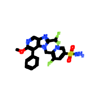 COc1ncc2nc(C(F)F)n(Cc3ncc(S(N)(=O)=O)cc3F)c2c1-c1ccccc1